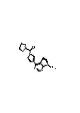 CCC(C1CCCC1)n1cc(-c2ncnc3c2ccn3P)cn1